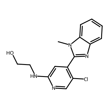 Cn1c(-c2cc(NCCO)ncc2Cl)nc2ccccc21